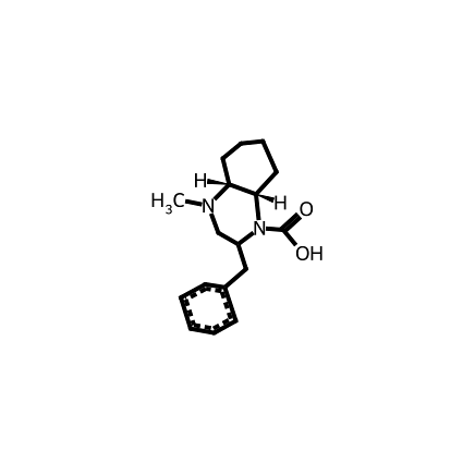 CN1CC(Cc2ccccc2)N(C(=O)O)[C@H]2CCCC[C@H]21